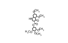 COc1cc(OC)c2c(=O)c(C(=O)Oc3cc(OC)c(OC)c(OC)c3)c[nH]c2c1